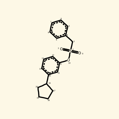 O=S(=O)(Cc1ccccc1)Oc1cccc(C2CCCC2)c1